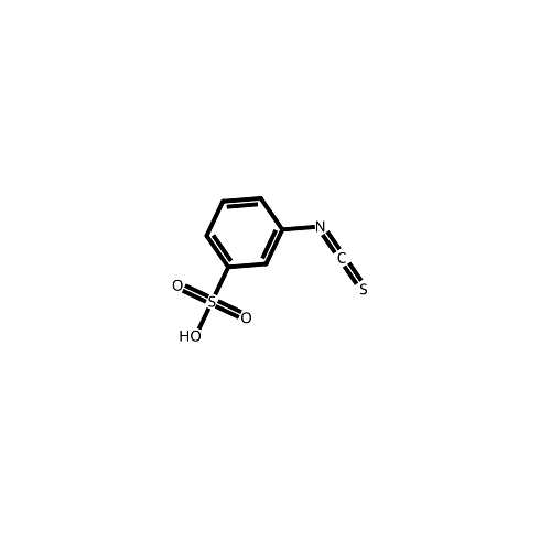 O=S(=O)(O)c1cccc(N=C=S)c1